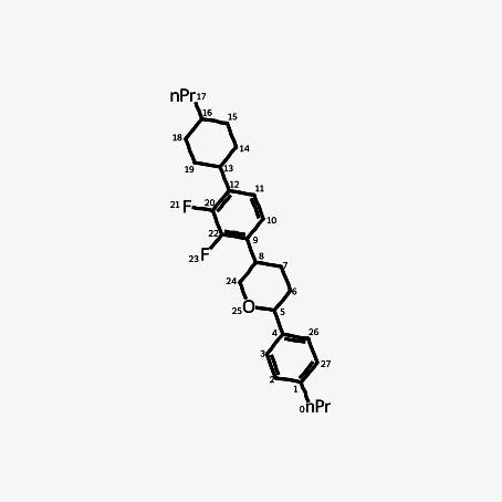 CCCc1ccc(C2CCC(c3ccc(C4CCC(CCC)CC4)c(F)c3F)CO2)cc1